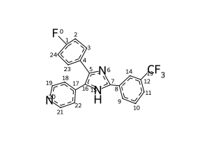 Fc1ccc(-c2nc(-c3cccc(C(F)(F)F)c3)[nH]c2-c2ccncc2)cc1